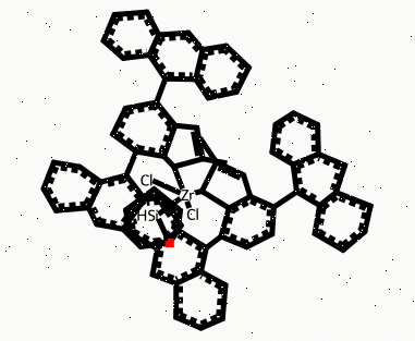 CC1=Cc2c(-c3c4ccccc4cc4ccccc34)ccc(-c3c4ccccc4cc4ccccc34)c2[CH]1[Zr]([Cl])([Cl])([CH]1C(C)=Cc2c(-c3c4ccccc4cc4ccccc34)ccc(-c3c4ccccc4cc4ccccc34)c21)[SiH](C)C